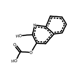 O=C(O)Oc1cc2ccccc2nc1O